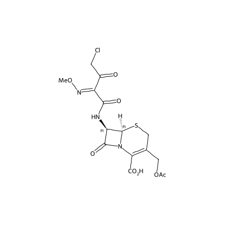 CON=C(C(=O)CCl)C(=O)N[C@@H]1C(=O)N2C(C(=O)O)=C(COC(C)=O)CS[C@H]12